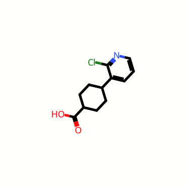 O=C(O)C1CCC(c2cccnc2Cl)CC1